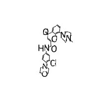 CN1CCN(c2cccc3c(=O)cc(C(=O)Nc4ccc(N5CCOCC5)c(Cl)c4)oc23)CC1